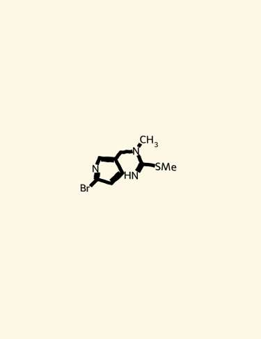 CSC(=N)N(C)Cc1ccc(Br)nc1